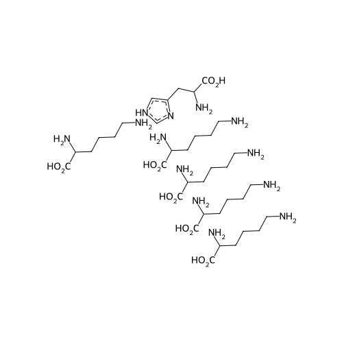 NC(Cc1c[nH]cn1)C(=O)O.NCCCCC(N)C(=O)O.NCCCCC(N)C(=O)O.NCCCCC(N)C(=O)O.NCCCCC(N)C(=O)O.NCCCCC(N)C(=O)O